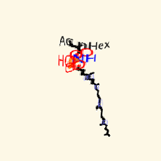 CCCCCCC(CC(C)=O)C(=O)ONP(=O)(O)OCCC/C(C)=C/CC/C(C)=C/CC/C=C(\C)CC/C=C(\C)CCC=C(C)C